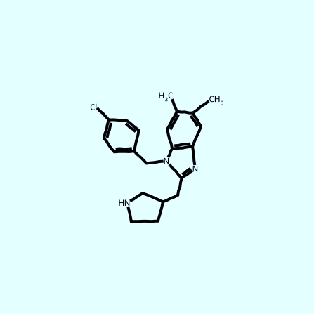 Cc1cc2nc(CC3CCNC3)n(Cc3ccc(Cl)cc3)c2cc1C